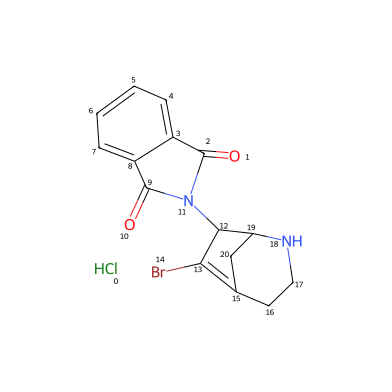 Cl.O=C1c2ccccc2C(=O)N1C1C(Br)=C2CCNC1C2